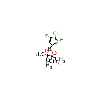 CC1(C)OB(c2cc(F)c(Cl)c(F)c2)OC1(C)C